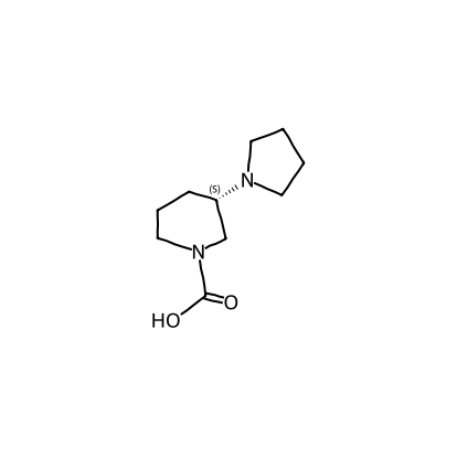 O=C(O)N1CCC[C@H](N2CCCC2)C1